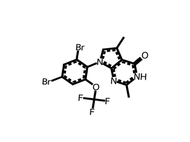 Cc1nc2c(c(C)cn2-c2c(Br)cc(Br)cc2OC(F)(F)F)c(=O)[nH]1